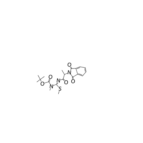 CSC(=NC(=O)C(C)N1C(=O)c2ccccc2C1=O)N(C)C(=O)OC(C)(C)C